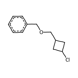 ClC1CC(COCc2ccccc2)C1